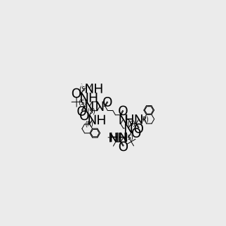 CNC(C)C(=O)N[C@H](C(=O)N1CCN(C(=O)CCCC(=O)N2CCN(C(=O)[C@@H](NC(=O)[C@H](C)NC)C(C)(C)C)[C@H](C(=O)N[C@@H]3CCCc4ccccc43)C2)C[C@H]1C(=O)N[C@@H]1CCCc2ccccc21)C(C)(C)C